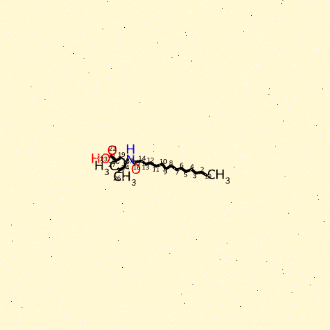 CCCCCCCCCCCCCCCC(=O)N[C@H](CCC(=O)O)CC(C)C